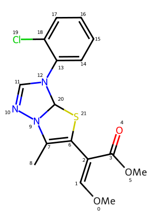 COC=C(C(=O)OC)C1=C(C)N2N=CN(c3ccccc3Cl)C2S1